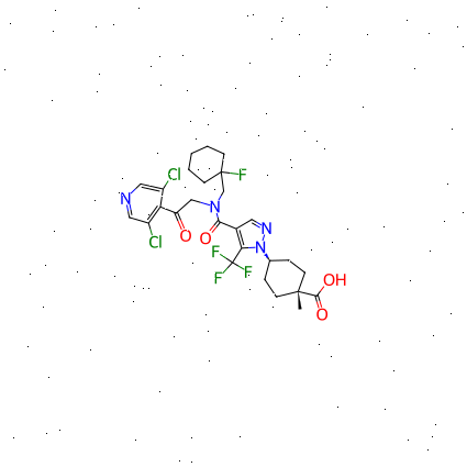 C[C@]1(C(=O)O)CC[C@H](n2ncc(C(=O)N(CC(=O)c3c(Cl)cncc3Cl)CC3(F)CCCCC3)c2C(F)(F)F)CC1